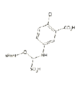 CCCCCOC(Nc1ccc(Cl)c(C(=O)O)c1)S(=O)(=O)O